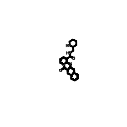 O=C(NCC1CCCCN1)c1cccn2c(=O)c3cc4ccccc4cc3nc12